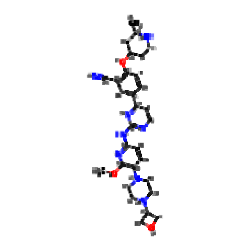 COc1nc(Nc2nccc(-c3ccc(OC4CCNC(C)C4)c(C#N)c3)n2)ccc1N1CCN(C2COC2)CC1